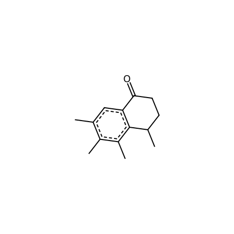 Cc1cc2c(c(C)c1C)C(C)CCC2=O